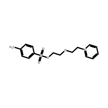 Cc1ccc(S(=O)(=O)OCCOCC[n+]2ccccc2)cc1